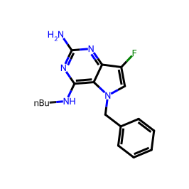 CCCCNc1nc(N)nc2c(F)cn(Cc3ccccc3)c12